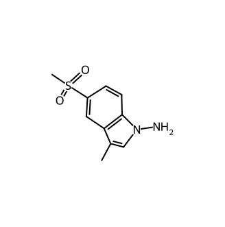 Cc1cn(N)c2ccc(S(C)(=O)=O)cc12